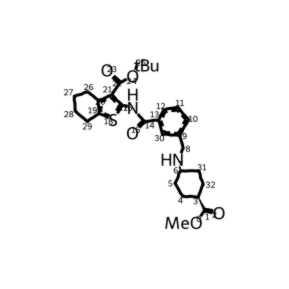 COC(=O)[C@H]1CC[C@H](NCc2cccc(C(=O)Nc3sc4c(c3C(=O)OC(C)(C)C)CCCC4)c2)CC1